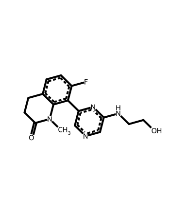 CN1C(=O)CCc2ccc(F)c(-c3cncc(NCCO)n3)c21